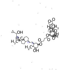 C=C1/C(=C\C=C2/CCC[C@@]3(C)C2CCC3[C@@H](C)/C=C/C(O)C2CC2)C[C@@H](OC(=O)CCC(=O)O[C@@H]2[C@@]3(C(C)C)O[C@H]3[C@@H]3O[C@@]34[C@@]3(C)CCC5=C(COC5=O)[C@@H]3C3C[C@@]24O3)C[C@@H]1O